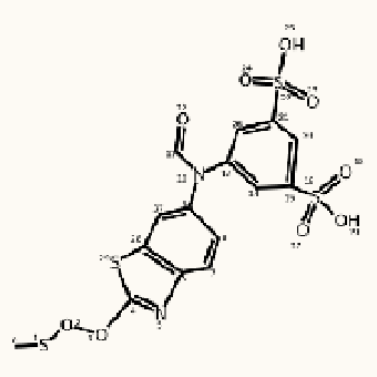 CSOOc1nc2ccc(N(C=O)c3cc(S(=O)(=O)O)cc(S(=O)(=O)O)c3)cc2s1